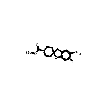 CC(C)(C)OC(=O)N1CCC2(CC1)Cc1cc([N+](=O)[O-])c(F)cc1O2